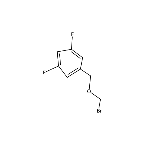 Fc1cc(F)cc(COCBr)c1